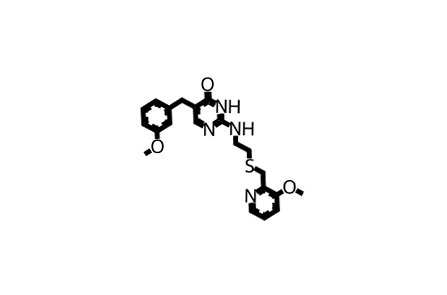 COc1cccc(Cc2cnc(NCCSCc3ncccc3OC)[nH]c2=O)c1